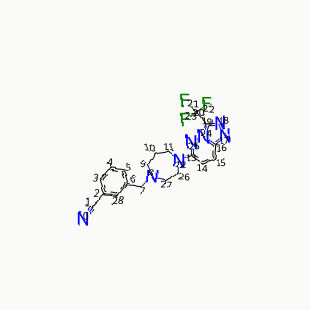 N#Cc1cccc(CN2CCCN(c3ccc4nnc(C(F)(F)F)n4n3)CC2)c1